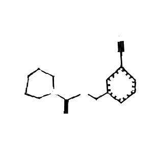 N#Cc1cccc(COC(=O)N2CCCCC2)c1